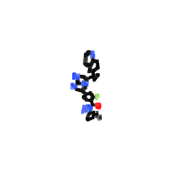 CNC(=O)c1ccc(-c2cnc3ncc(C4(c5ccc6ncccc6c5)CC4)n3c2)cc1F